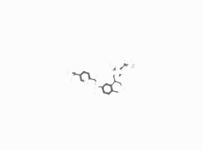 CC(C)(C(=N)N)S(=O)(=O)CC1COCc2ccc(NC(=O)c3ccc(C(F)(F)F)cn3)cc21